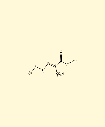 CC(=O)CO/N=C(\C(=O)O)C(=O)CCl